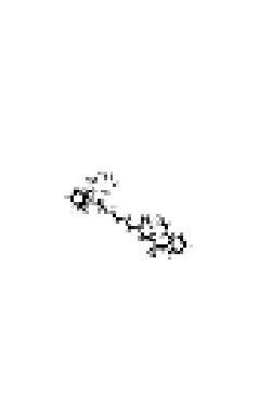 C=CCC12C=CC(CC1C(=O)OCCCCCCOC(=O)C1CC3C=CC1(CC=C)C3)C2